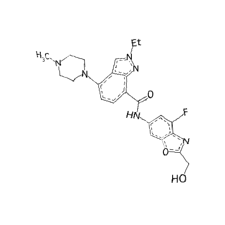 CCn1cc2c(N3CCN(C)CC3)ccc(C(=O)Nc3cc(F)c4nc(CO)oc4c3)c2n1